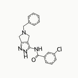 O=C(Nc1[nH]nc2c1CN(Cc1ccccc1)C2)c1cccc(Cl)c1